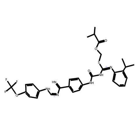 CC(C)C(=O)OCS/C(=N/c1ccccc1C(C)C)NC(=O)Nc1ccc(C(=N)/N=C\Nc2ccc(OC(F)(F)F)cc2)cc1